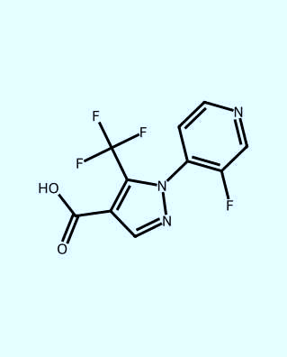 O=C(O)c1cnn(-c2ccncc2F)c1C(F)(F)F